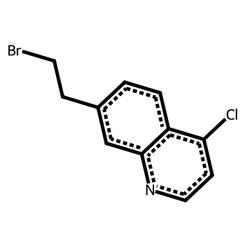 Clc1ccnc2cc(CCBr)ccc12